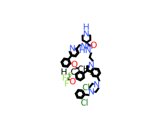 CC(C)Oc1ccccc1-c1ccc(CNC2(C(=O)NCCCn3cc(-c4ccc(OC(F)(F)F)cc4)c4cc(CN5CCN(Cc6c(Cl)cccc6Cl)CC5)ccc43)CCNCC2)nc1